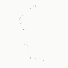 O=C(CSCSCC[S+]([O-])CSCSCSC(=O)CSCSCC(=O)OCSCSCCO)OCSCSCCO